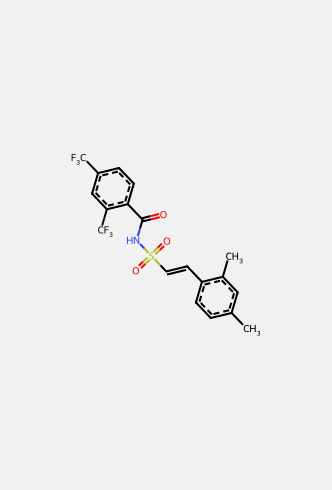 Cc1ccc(/C=C/S(=O)(=O)NC(=O)c2ccc(C(F)(F)F)cc2C(F)(F)F)c(C)c1